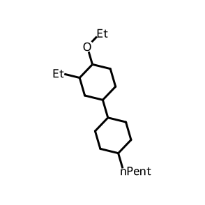 CCCCCC1CCC(C2CCC(OCC)C(CC)C2)CC1